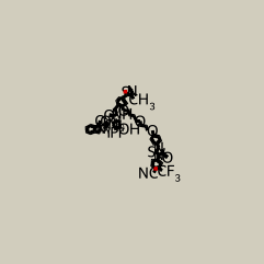 Cc1ncsc1-c1ccc(CNC(=O)[C@@H]2C[C@@H](O)CN2C(=O)[C@H](C(C)C)N2Cc3ccccc3C2=O)c(OCCCCOCCCOc2ccc(N3CC(=O)N(c4ccc(C#N)c(C(F)(F)F)c4)C3=S)cc2)c1